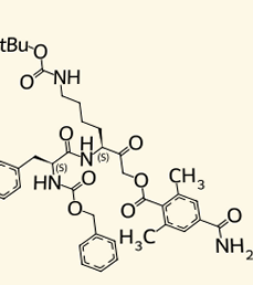 Cc1cc(C(N)=O)cc(C)c1C(=O)OCC(=O)[C@H](CCCCNC(=O)OC(C)(C)C)NC(=O)[C@H](Cc1ccccc1)NC(=O)OCc1ccccc1